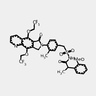 COc1ccccc1C(C)C(=O)NS(=O)(=O)Cc1ccc(N2Cc3c(c(OCC(F)(F)F)c4cccnc4c3OCC(F)(F)F)C2=O)c(C)c1